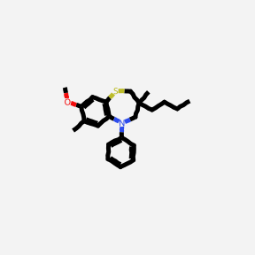 CCCCC1(C)CSc2cc(OC)c(C)cc2N(c2ccccc2)C1